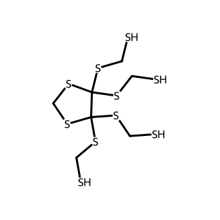 SCSC1(SCS)SCSC1(SCS)SCS